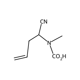 C=CCC(C#N)N(C)C(=O)O